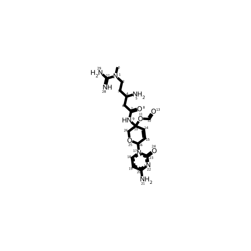 CN(CCC(N)CC(=O)NC1(OC=O)C=CC(n2ccc(N)nc2=O)OC1)C(=N)N